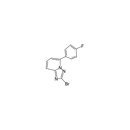 Fc1ccc(-c2cccc3nc(Br)nn23)cc1